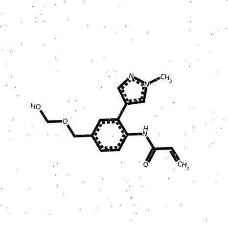 C=CC(=O)Nc1ccc(COCO)cc1-c1cnn(C)c1